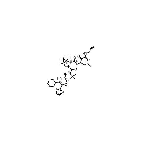 C=CCNC(=O)C(=O)C(CCC)NC(=O)[C@@H]1[C@@H]2[C@H](CN1C(=O)[C@@H](NC(=O)N[C@H](C(=O)c1nccs1)C1CCCCC1)C(C)(C)C)C2(C)C